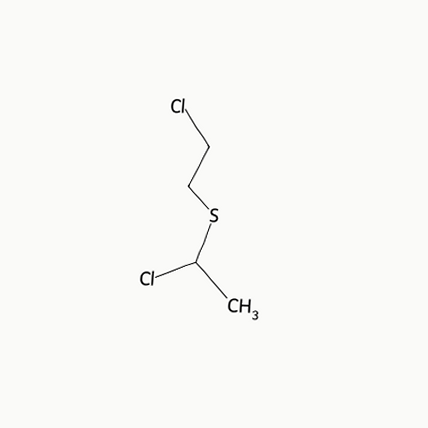 CC(Cl)SCCCl